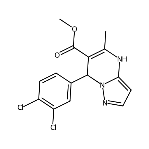 COC(=O)C1=C(C)Nc2ccnn2C1c1ccc(Cl)c(Cl)c1